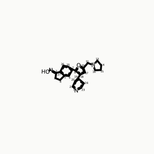 ON=C1CCc2cc(-c3oc(CN4CCCC4)cc3-c3ccncc3)ccc21